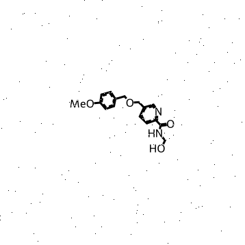 COc1ccc(COCc2ccc(C(=O)NCO)nc2)cc1